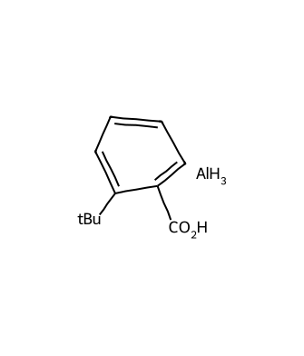 CC(C)(C)c1ccccc1C(=O)O.[AlH3]